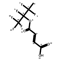 CC(F)(F)C(F)(OC(=O)C=CC(=O)O)C(F)(F)F